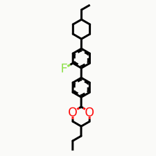 CCCC1COC(c2ccc(-c3ccc(C4CCC(CC)CC4)cc3F)cc2)OC1